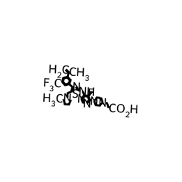 C=C(C)c1cc(-c2nc(Nc3ncnc(N4CCN(CCC(=O)O)CC4)c3F)sc2CN2CCC[C@H]2C)cc(C(F)(F)F)c1